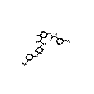 Cc1ccc(NC(=O)Nc2cccc(C(F)(F)F)c2)cc1C(=O)Nc1cnc(NC2=CCCC(N)=C2)nc1